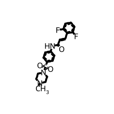 CN1CCN(S(=O)(=O)c2ccc(NC(=O)C=Cc3c(F)cccc3F)cc2)CC1